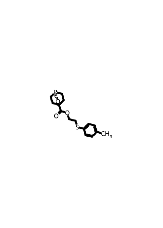 Cc1ccc(SCCOC(=O)C23CCP(CC2)CO3)cc1